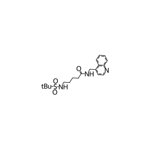 CC(C)(C)S(=O)(=O)NCCCCC(=O)NCc1ccnc2ccccc12